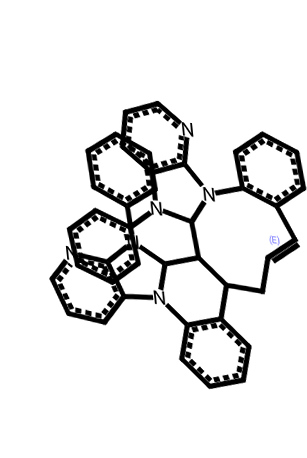 C1=C/c2ccccc2N2c3ncccc3N(c3ccccc3)C2C2C(C/1)c1ccccc1N1c3cccnc3N(c3ccccc3)C21